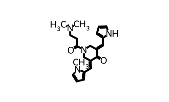 CN(C)CCC(=O)N1C/C(=C\c2ccc[nH]2)C(=O)/C(=C/c2cccn2C)C1